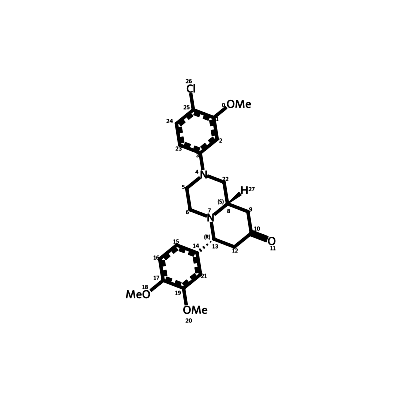 COc1cc(N2CCN3[C@@H](CC(=O)C[C@@H]3c3ccc(OC)c(OC)c3)C2)ccc1Cl